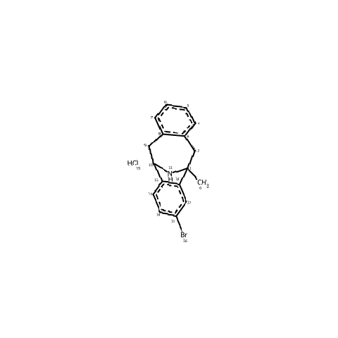 CC12Cc3ccccc3CC(N1)c1ccc(Br)cc12.Cl